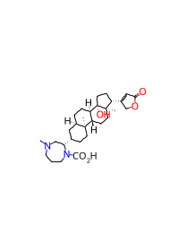 CN1CCCN(C(=O)O)C([C@H]2CC[C@@]3(C)[C@H](CC[C@@H]4[C@@H]3CC[C@]3(C)[C@@H](C5=CC(=O)OC5)CC[C@]43O)C2)C1